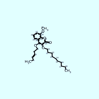 CCC=CCCOc1c(OCCCCCCCCCC)c(=O)oc2c(OC)cccc12